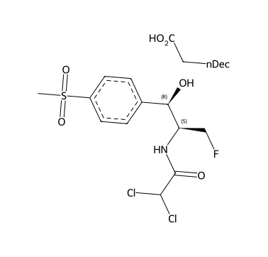 CCCCCCCCCCCC(=O)O.CS(=O)(=O)c1ccc([C@@H](O)[C@@H](CF)NC(=O)C(Cl)Cl)cc1